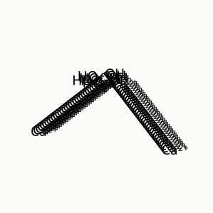 O=S(=O)(O)O.O=S(=O)(O)O.O=S(=O)(O)O.O=S(=O)(O)O.O=S(=O)(O)O.[Ca+2].[Ca+2].[Ca+2].[Ca+2].[Ca+2].[Ca+2].[Ca+2].[Ca+2].[Ca+2].[Ca+2].[Ca+2].[Ca+2].[Ca+2].[Ca+2].[Ca+2].[Ca+2].[Ca+2].[Ca+2].[Ca+2].[Ca+2].[Ca+2].[Ca+2].[Ca+2].[Ca+2].[Ca+2].[Ca+2].[Ca+2].[Ca+2].[Ca+2].[Ca+2].[Ca+2].[Ca+2].[Ca+2].[Ca+2].[Ca+2].[Ca+2].[Ca+2].[Ca+2].[Ca+2].[Ca+2].[Ca+2].[Ca+2].[Ca+2].[Ca+2].[Ca+2].[Ca+2].[Ca+2].[Ca+2].[Ca+2].[Ca+2].[Ca+2].[Ca+2].[Ca+2].[Ca+2].[Ca+2].[Ca+2].[Ca+2].[Ca+2].[Ca+2].[Ca+2].[Ca+2].[Ca+2].[Ca+2]